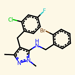 Cc1nn(C)c(NCc2ccccc2Br)c1Cc1ccc(F)cc1Cl